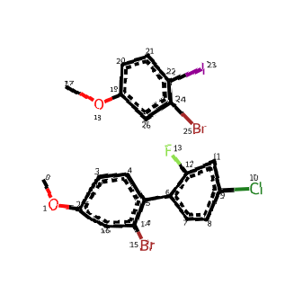 COc1ccc(-c2ccc(Cl)cc2F)c(Br)c1.COc1ccc(I)c(Br)c1